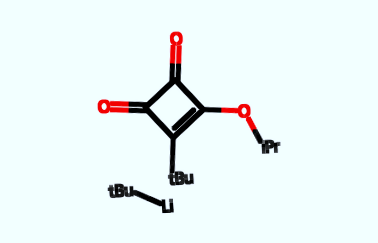 CC(C)Oc1c(C(C)(C)C)c(=O)c1=O.[Li][C](C)(C)C